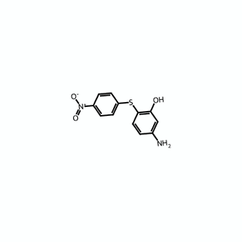 Nc1ccc(Sc2ccc([N+](=O)[O-])cc2)c(O)c1